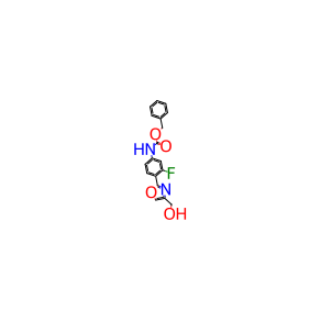 O=C(Nc1ccc(-c2nc(CO)co2)c(F)c1)OCc1ccccc1